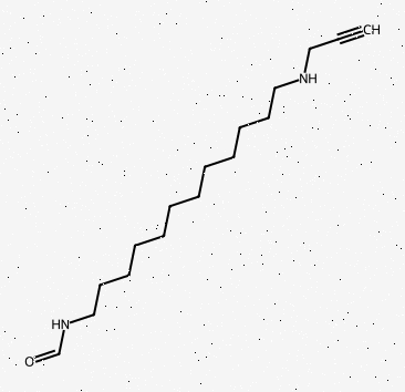 C#CCNCCCCCCCCCCCCNC=O